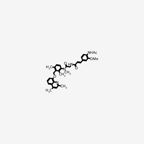 COc1cc(C=CC(=O)NCC(=O)N(C)c2ccc(C)c(COc3cccc4c(C)cc(C)nc34)c2C)ccc1NC(C)=O